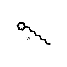 CCCCCCCCCc1cc[c]cc1.[W]